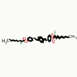 CCCCCCCC[C@@H](F)C(=O)O[C@H]1CC[C@H](CCc2ccc(CC[C@H]3CC[C@H](OC(=O)[C@H](F)CCCCCCCC)CC3)cc2)CC1